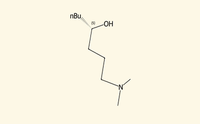 CCCC[C@H](O)CCCN(C)C